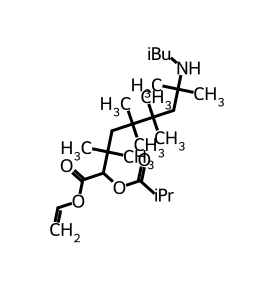 C=COC(=O)C(OC(=O)C(C)C)C(C)(C)CC(C)(C)C(C)(C)CC(C)(C)NC(C)CC